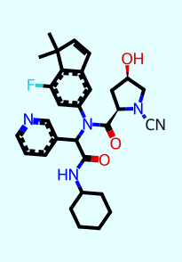 CC1(C)C=Cc2cc(N(C(=O)[C@H]3C[C@@H](O)CN3C#N)C(C(=O)NC3CCCCC3)c3cccnc3)cc(F)c21